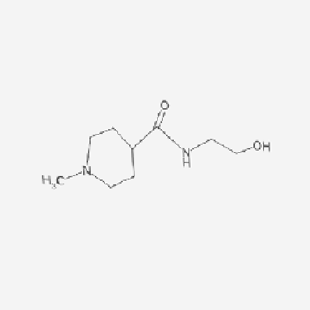 CN1CCC(C(=O)NCCO)CC1